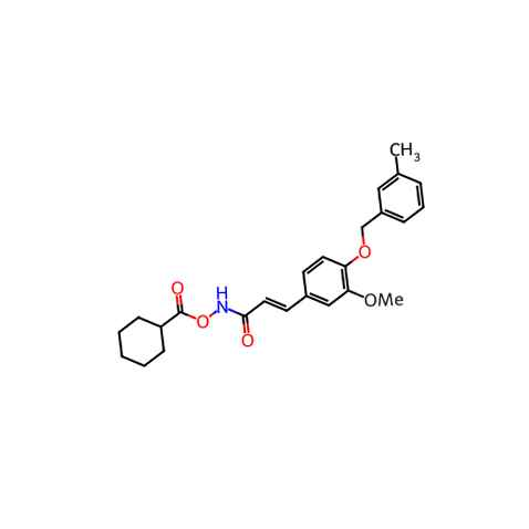 COc1cc(C=CC(=O)NOC(=O)C2CCCCC2)ccc1OCc1cccc(C)c1